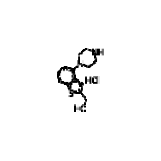 Cl.OCc1cc2c(N3CCNCC3)cccc2s1